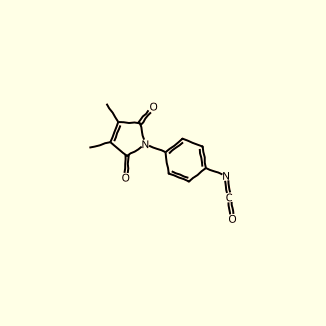 CC1=C(C)C(=O)N(c2ccc(N=C=O)cc2)C1=O